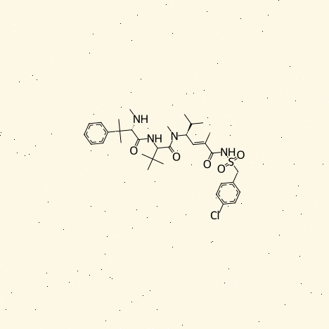 CN[C@H](C(=O)NC(C(=O)N(C)[C@H](/C=C(\C)C(=O)NS(=O)(=O)Cc1ccc(Cl)cc1)C(C)C)C(C)(C)C)C(C)(C)c1ccccc1